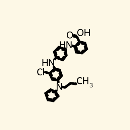 CCCCN(c1ccccc1)c1ccc(Nc2ccc(Nc3ccccc3C(=O)O)cc2)c(Cl)c1